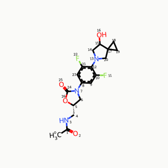 CC(=O)NC[C@H]1CN(c2cc(F)c(N3CC(O)C4(CC4)C3)c(F)c2)C(=O)O1